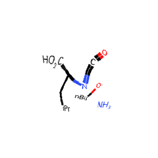 CC(C)CC(N=C=O)C(=O)O.CCCC[O].N